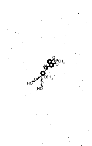 CCN1C(=O)c2cccc3c(-c4cn(-c5ccc(N(CCOCCO)CCOCCO)c(OC)c5)nn4)ccc(c23)C1=O